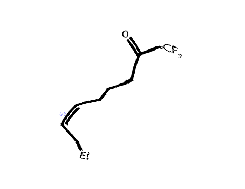 CC/C=C\CCCC(=O)C(F)(F)F